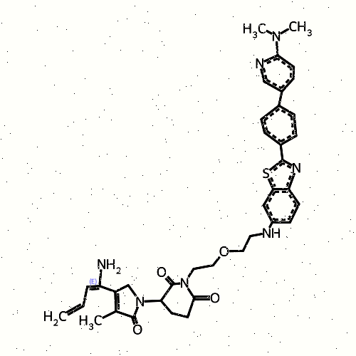 C=C/C=C(/N)C1=C(C)C(=O)N(C2CCC(=O)N(CCOCCNc3ccc4nc(-c5ccc(-c6ccc(N(C)C)nc6)cc5)sc4c3)C2=O)C1